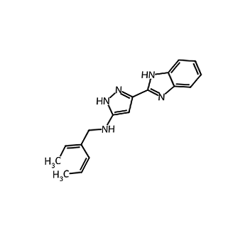 C/C=C\C(=C/C)CNc1cc(-c2nc3ccccc3[nH]2)n[nH]1